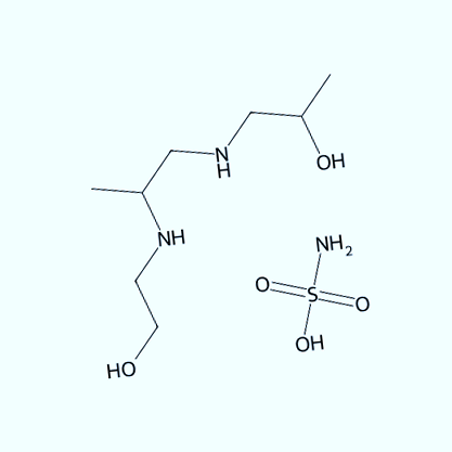 CC(O)CNCC(C)NCCO.NS(=O)(=O)O